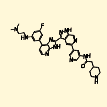 CN(C)CCNc1cc(F)cc(-c2ccnc3[nH]c(-c4n[nH]c5cnc(-c6cncc(NC(=O)CC7CCNCC7)c6)cc45)nc23)c1